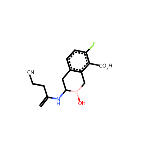 C=C(CCC#N)NC1Cc2ccc(F)c(C(=O)O)c2CB1O